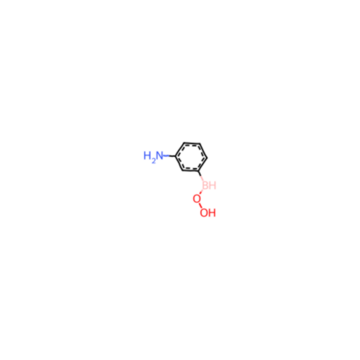 Nc1cccc(BOO)c1